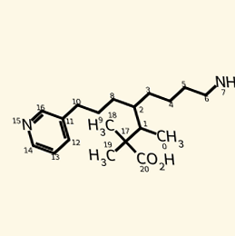 CC(C(CCCCN)CCCc1cccnc1)C(C)(C)C(=O)O